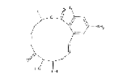 C[C@H]1C/C=C\C(=O)C(O)C(O)C/C=C/c2cc(N)cc(O)c2C(=O)O1